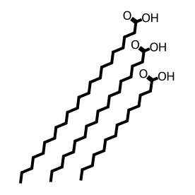 CCCCCCCCCCCCCC(=O)O.CCCCCCCCCCCCCCCCCC(=O)O.CCCCCCCCCCCCCCCCCCCCCC(=O)O